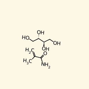 C=C(C)C(N)=O.OC[C@@H](O)[C@@H](O)CO